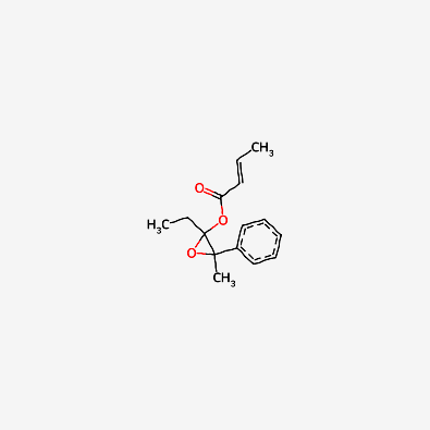 CC=CC(=O)OC1(CC)OC1(C)c1ccccc1